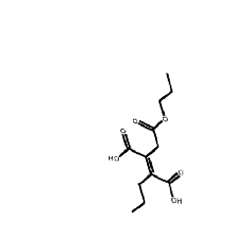 CCCOC(=O)CC(C(=O)O)=C(CCC)C(=O)O